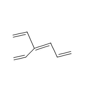 C=CC=C(C=C)C=C